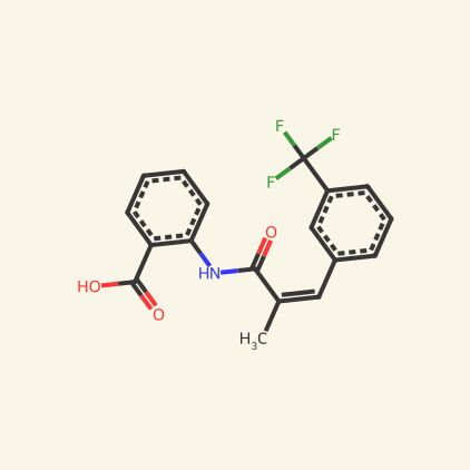 CC(=Cc1cccc(C(F)(F)F)c1)C(=O)Nc1ccccc1C(=O)O